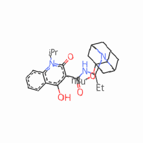 CCCCOC12CC3CC(C1)N(C(CC)NC(=O)c1c(O)c4ccccc4n(C(C)C)c1=O)C(C3)C2